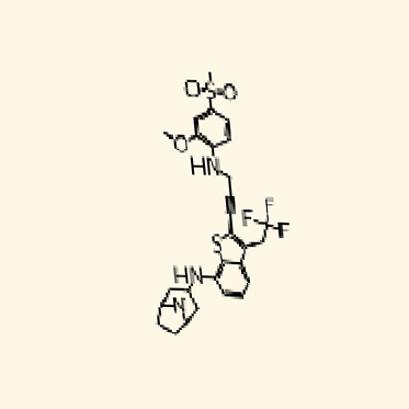 COc1cc(S(C)(=O)=O)ccc1NCC#Cc1sc2c(NC3CC4CCC(C3)N4C)cccc2c1CC(F)(F)F